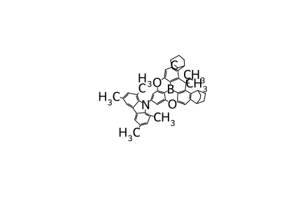 Cc1cc(C)c2c(c1)c1cc(C)cc(C)c1n2-c1cc2c3c(c1)Oc1cc4c(c5c1B3c1c(cc3c(c1C5(C)C)C1CCC3CC1)O2)C1CCC4CC1